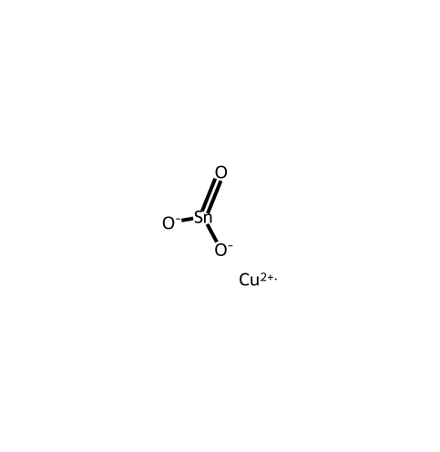 [Cu+2].[O]=[Sn]([O-])[O-]